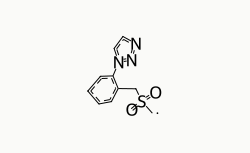 [CH2]S(=O)(=O)Cc1ccccc1-n1ccnn1